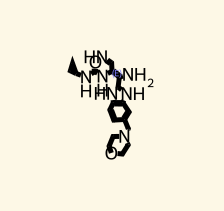 N=C/C(NC(=O)NC1CC1)=C(\N)C1Nc2ccc(CN3CCOCC3)cc2N1